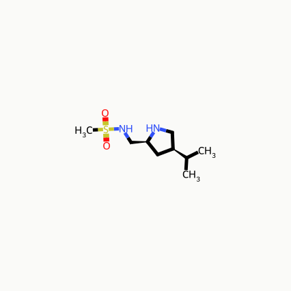 CC(C)[C@@H]1CN[C@H](CNS(C)(=O)=O)C1